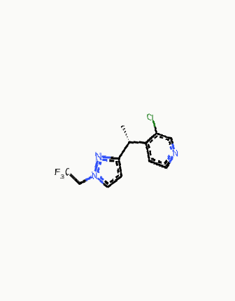 C[C@@H](c1ccn(CC(F)(F)F)n1)c1ccncc1Cl